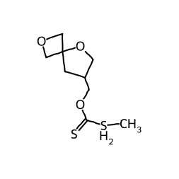 C[SH2]C(=S)OCC1COC2(COC2)C1